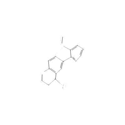 O=C(O)NC1CCOc2ccc(-c3ccccc3OC(F)(F)F)cc21